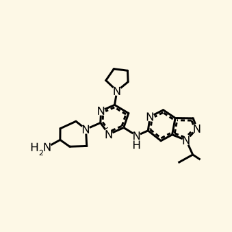 CC(C)n1ncc2cnc(Nc3cc(N4CCCC4)nc(N4CCC(N)CC4)n3)cc21